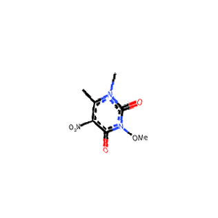 COn1c(=O)c([N+](=O)[O-])c(C)n(C)c1=O